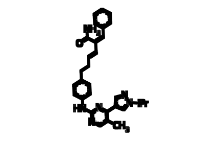 Cc1cnc(Nc2ccc(CCC=CC(=Cc3ccccc3)C(N)=O)cc2)nc1-c1cnn(C(C)C)c1